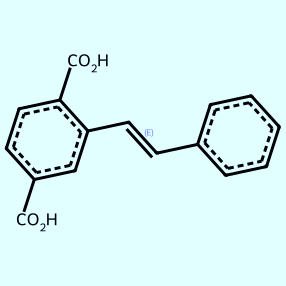 O=C(O)c1ccc(C(=O)O)c(/C=C/c2ccccc2)c1